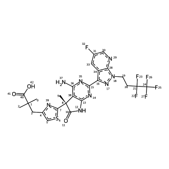 CC(C)(Cc1csc([C@@]2(C)C(=O)Nc3nc(-c4nn(CCC(F)(F)C(F)(F)F)c5ncc(F)cc45)nc(N)c32)n1)C(=O)O